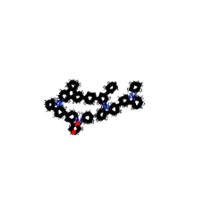 c1ccc(-c2cc(-c3ccc(-c4ccc5c(c4)c4ccccc4c4ccc(-n6c7ccccc7c7ccc(-c8ccc9c(c8)c8ccccc8n9-c8ccccc8)cc76)cc45)cc3)cc(-n3c4ccccc4c4ccc(-c5ccc6c(c5)c5ccccc5n6-c5ccccc5)cc43)c2)cc1